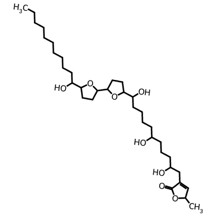 CCCCCCCCCCC(O)C1CCC(C2CCC(C(O)CCCCC(O)CCCC(O)CC3=CC(C)OC3=O)O2)O1